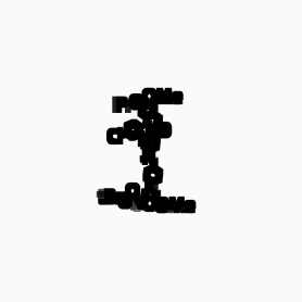 COC(=O)CN(CCN(C)C(=O)OC(C)(C)C)C1CCC(CN(C)c2ccc(N3C(=O)Cc4cc(OC)c(OC(C)C)cc4[C@@H]3c3ccc(Cl)cc3)nc2)CC1